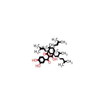 C=C(C)CC[C@H](C[C@@]12C[C@@H](CC=C(C)C)C(C)(C)[C@@](CC=C(C)C)(C(=O)C(C(=O)c3ccc(O)c(O)c3)=C1O)C2=O)C(=C)C